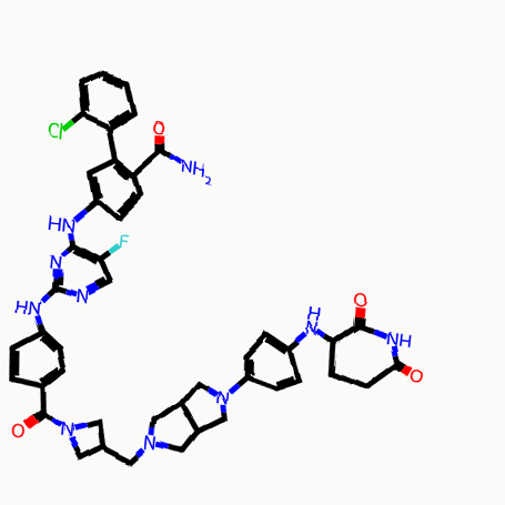 NC(=O)c1ccc(Nc2nc(Nc3ccc(C(=O)N4CC(CN5CC6CN(c7ccc(NC8CCC(=O)NC8=O)cc7)CC6C5)C4)cc3)ncc2F)cc1-c1ccccc1Cl